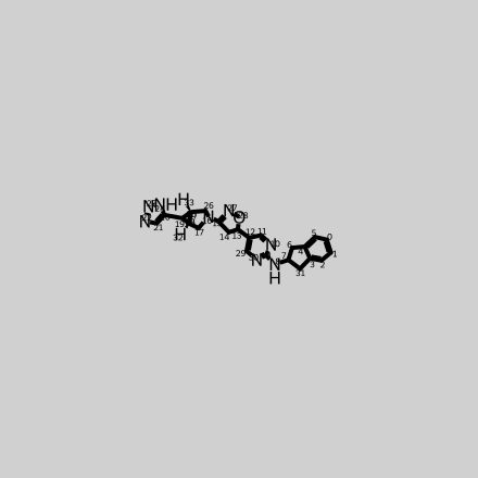 c1ccc2c(c1)CC(Nc1ncc(C3CC(N4C[C@@H]5C(c6cnn[nH]6)[C@@H]5C4)=NO3)cn1)C2